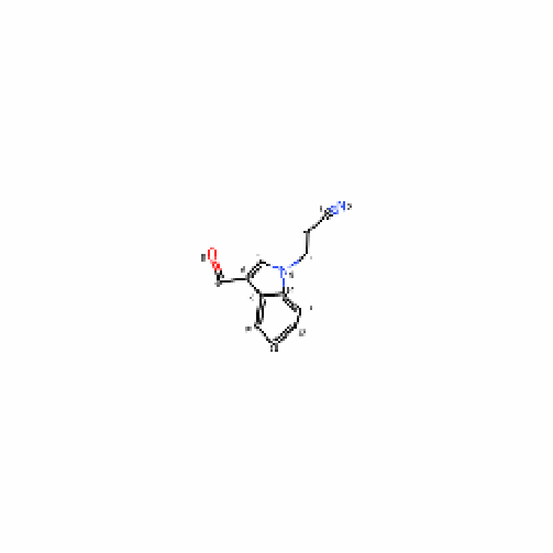 N#CCCn1cc(C=O)c2ccccc21